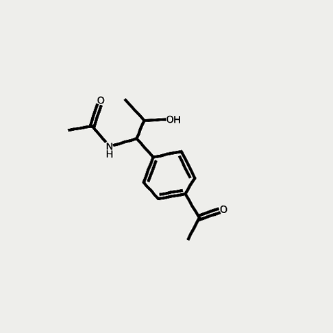 CC(=O)NC(c1ccc(C(C)=O)cc1)C(C)O